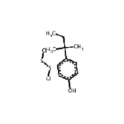 CCC(C)(C)c1ccc(O)cc1.ClSSCl